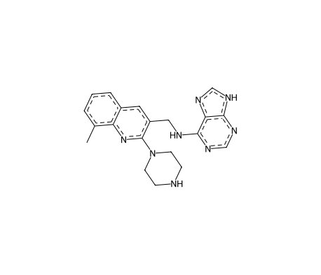 Cc1cccc2cc(CNc3ncnc4[nH]cnc34)c(N3CCNCC3)nc12